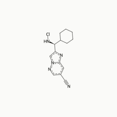 N#Cc1cnn2cc([C@@H](NCl)C3CCCCC3)nc2c1